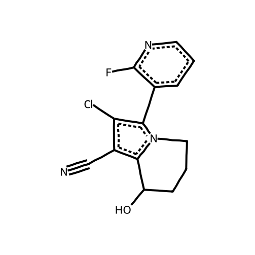 N#Cc1c(Cl)c(-c2cccnc2F)n2c1C(O)CCC2